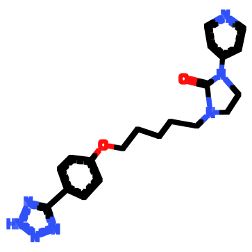 O=C1N(CCCCCOc2ccc(-c3nn[nH]n3)cc2)CCN1c1ccncc1